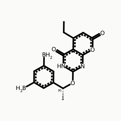 Bc1cc(B)cc([C@@H](C)Oc2nc3oc(=O)cc(CC)c3c(=O)[nH]2)c1